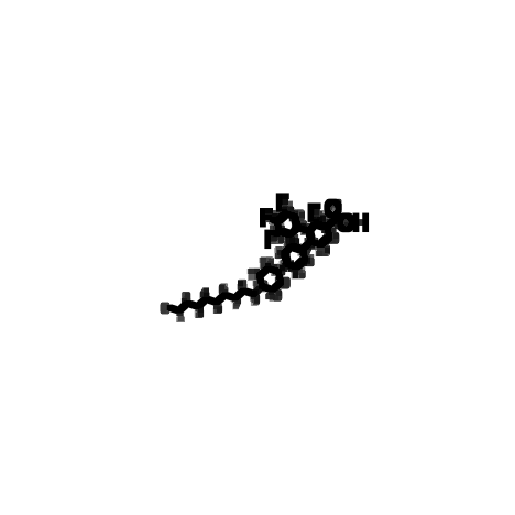 CCCCCCCCCC[C@H]1CC[C@H](c2ccc(-c3ccc(C(=O)O)c(F)c3-c3cc(F)c(F)c(F)c3)cc2)CC1